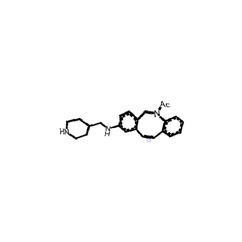 CC(=O)N1Cc2ccc(NCC3CCNCC3)cc2/C=C\c2ccccc21